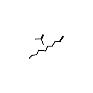 C=C(C)C.C=CCCCCCCCC